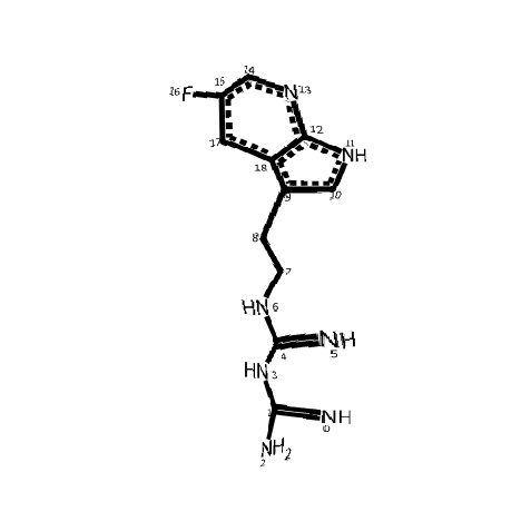 N=C(N)NC(=N)NCCc1c[nH]c2ncc(F)cc12